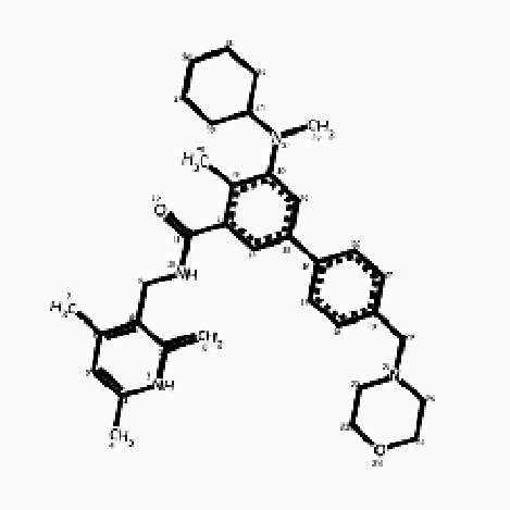 C=C1NC(C)=CC(C)=C1CNC(=O)c1cc(-c2ccc(CN3CCOCC3)cc2)cc(N(C)C2CCCCC2)c1C